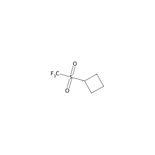 O=S(=O)([C]1CCC1)C(F)(F)F